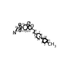 Cc1ccc(N2CCN(CC[C@H]3CC4(CCN(S(=O)(=O)CC#N)CC4)C(=O)O3)CC2)cc1